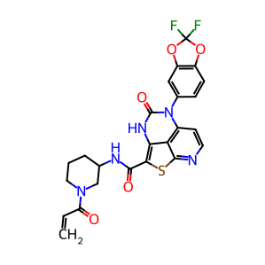 C=CC(=O)N1CCCC(NC(=O)c2sc3nccc4c3c2NC(=O)N4c2ccc3c(c2)OC(F)(F)O3)C1